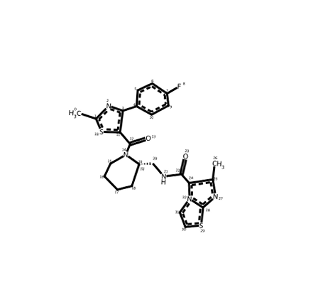 Cc1nc(-c2ccc(F)cc2)c(C(=O)N2CCCC[C@H]2CNC(=O)c2c(C)nc3sccn23)s1